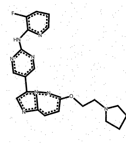 Fc1cccnc1Nc1ncc(-c2cnc3ccc(OCCN4CCCC4)nn23)cn1